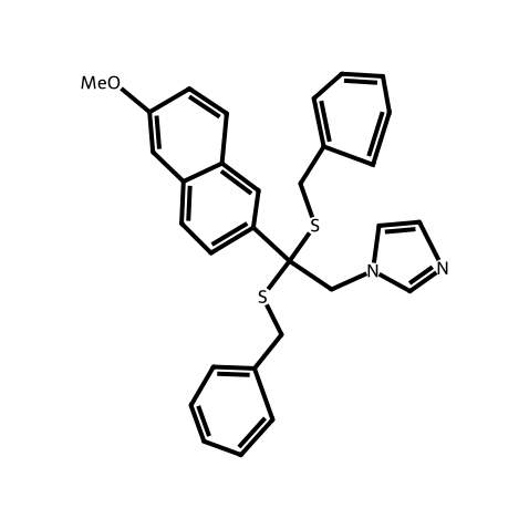 COc1ccc2cc(C(Cn3ccnc3)(SCc3ccccc3)SCc3ccccc3)ccc2c1